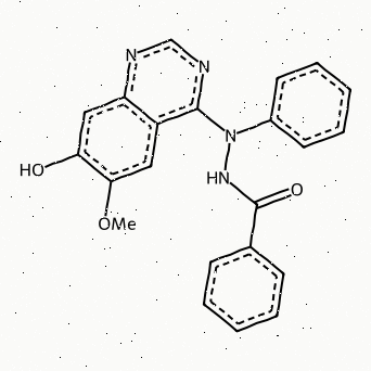 COc1cc2c(N(NC(=O)c3ccccc3)c3ccccc3)ncnc2cc1O